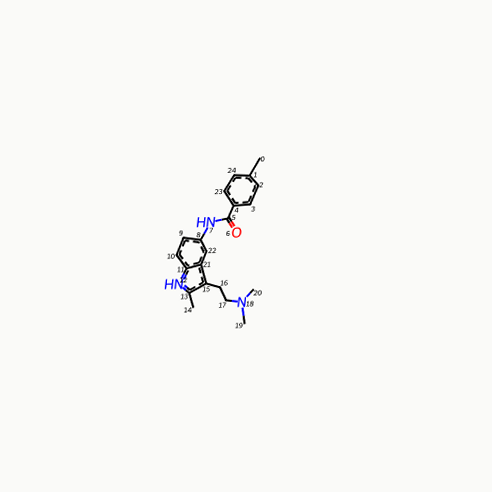 Cc1ccc(C(=O)Nc2ccc3[nH]c(C)c(CCN(C)C)c3c2)cc1